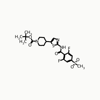 CC(C)(C)OC(=O)N1CCC(c2cnc(NC(=O)c3c(F)cc(S(C)(=O)=O)cc3F)s2)CC1